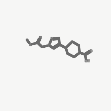 COC(=O)Cn1cc(C2CCC(C(=O)O)CC2)cn1